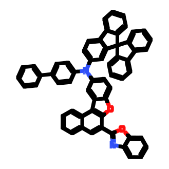 c1ccc(-c2ccc(N(c3ccc4c(c3)C3(c5ccccc5-c5ccccc53)c3ccccc3-4)c3ccc4oc5c(-c6nc7ccccc7o6)cc6ccccc6c5c4c3)cc2)cc1